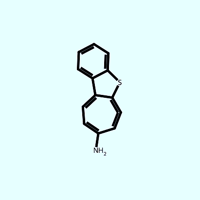 NC1=CC=c2c(sc3ccccc23)=C=C1